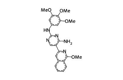 COc1cc(Nc2ncc(-c3cc4ccccc4c(OC)n3)c(N)n2)cc(OC)c1OC